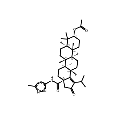 CC(=O)O[C@H]1CC[C@]2(C)[C@H]3CC[C@@H]4C5=C(C(C)C)C(=O)C[C@]5(C(=O)Nc5nnc(C)s5)CC[C@@]4(C)[C@]3(C)CC[C@H]2C1(C)C